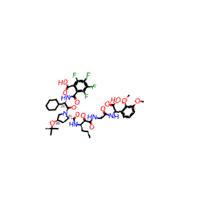 CCCC(NC(=O)[C@@H]1C[C@@H](OC(C)(C)C)CN1C(=O)[C@@H](NC(=O)c1c(F)c(F)c(F)c(F)c1C(=O)O)C1CCCCC1)C(=O)C(=O)NCC(=O)NC(C(=O)O)c1cccc(OC)c1OC